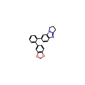 c1ccc(-c2ccc3nc4n(c3c2)CCC4)c(-c2ccc3c(c2)OCO3)c1